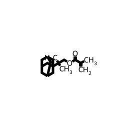 C=C(C)C(=O)OCC(C)(C)C12CC3CC(CC(C3)C1)C2